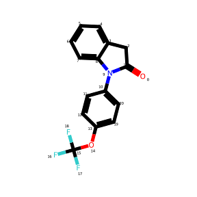 O=C1Cc2ccccc2N1c1ccc(OC(F)(F)F)cc1